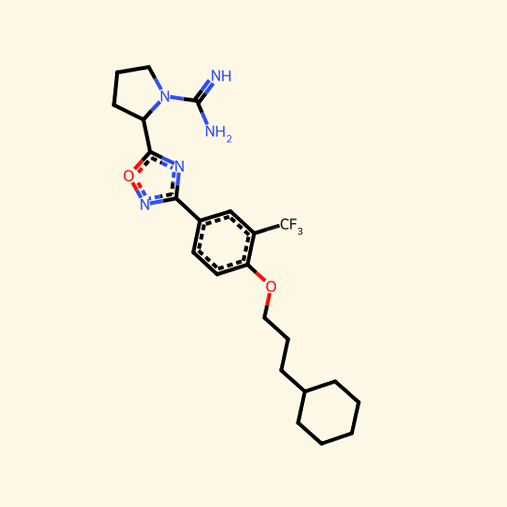 N=C(N)N1CCCC1c1nc(-c2ccc(OCCCC3CCCCC3)c(C(F)(F)F)c2)no1